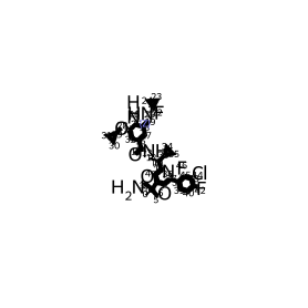 C[C@]1(C(N)=O)COc2c1cc([C@@H](CNC(=O)C1=C/C(=C/NC3(F)CC3)C(=N)C(OC3CC3)=C1)C1CC1)nc2-c1ccc(F)c(Cl)c1F